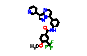 COc1ccc(C(=O)Nc2cccc(-c3ccnc4c(-c5cccnc5)cnn34)c2)cc1C(F)(F)F